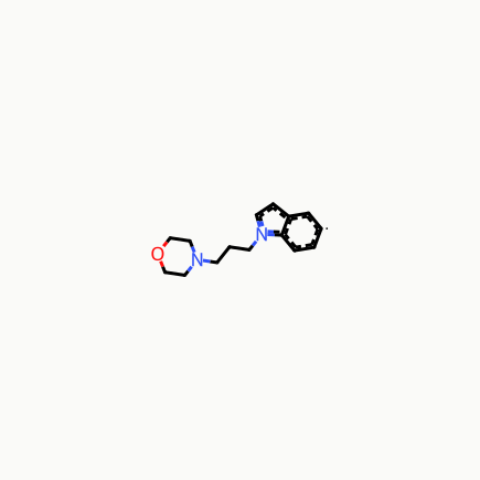 [c]1ccc2c(c1)ccn2CCCN1CCOCC1